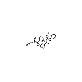 CC(C)CCNC(=O)c1ccccc1-c1ccccc1[C@H](C)NC(=O)O[C@@H](C)c1ccccc1